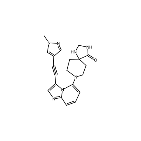 Cn1cc(C#Cc2cnc3cccc(N4CCC5(CC4)NCNC5=O)n23)cn1